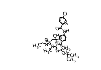 CCN=S1(=O)C[C@@](C)(c2cc(NC(=O)c3ccc(Cl)cn3)ccc2F)N/C(=N\C(=O)OC(C)(C)C)N1C